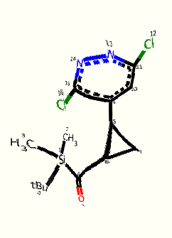 CC(C)(C)[Si](C)(C)C(=O)C1CC1c1cc(Cl)nnc1Cl